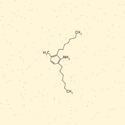 CCCCCCCc1ccc(C)c(CCCCCCC)c1N